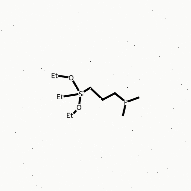 CCO[Si](CC)(CCCP(C)C)OCC